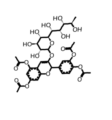 CC(=O)Oc1cc(OC(C)=O)c2c(c1)OC(c1ccc(OC(C)=O)c(OC(C)=O)c1)C(OC1O[C@H]([C@H](O)[C@@H](O)[C@H](O)[C@@H](C)O)[C@@H](O)[C@H](O)[C@H]1O)=C2